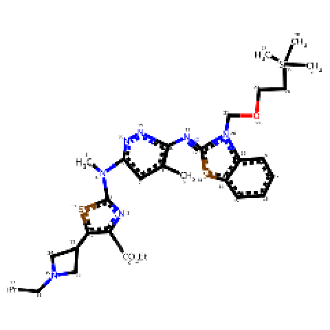 CCOC(=O)c1nc(N(C)c2cc(C)c(/N=c3\sc4ccccc4n3COCC[Si](C)(C)C)nn2)sc1C1CN(CC(C)C)C1